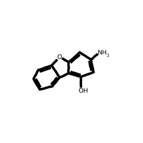 Nc1cc(O)c2c(c1)oc1ccccc12